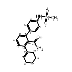 CS(=O)(=O)Nc1ccc(-c2cc[c]c(C3=CCCCC3)c2C(N)=O)cc1